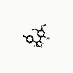 CCc1cc(-c2nn[nH]c2-c2ccc(I)cc2)c(O)cc1OC